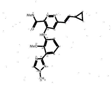 CNC(=O)c1nnc(/C=C/C2CC2)cc1Nc1cccc(-c2ncn(C)n2)c1OC